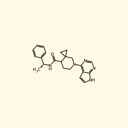 C[C@H](NC(=O)C1CCN(c2ncnc3[nH]ccc23)CC12CC2)c1ccccc1